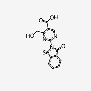 O=C(O)c1cnc(-n2[se]c3ccccc3c2=O)nc1CO